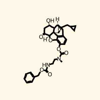 CN(CCNC(=O)OCc1ccccc1)C(=O)Oc1ccc2c3c1O[C@H]1C(=O)C[C@H](O)C4[C@@H](C2)N(CC2CC2)CC[C@@]341